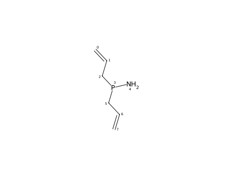 C=CCP(N)CC=C